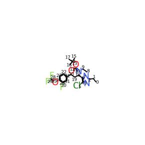 CCc1nc(Cl)c2n1CCN(C(=O)OC(C)(C)C)C2CCc1ccc(OC(F)F)c(F)c1